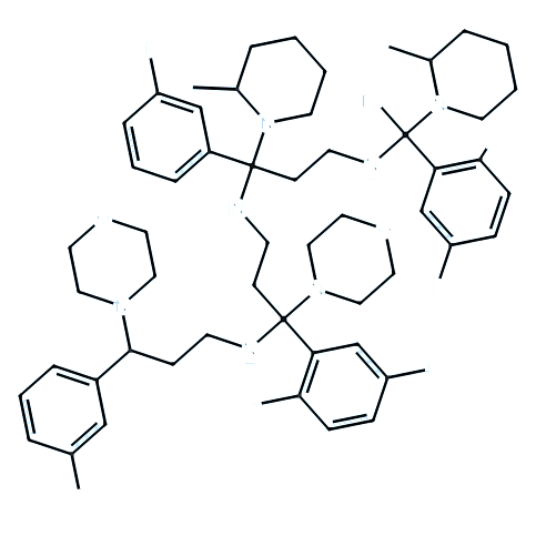 [CH2]CC(NCCC(NCCC(NCCC(c1cccc(F)c1)N1CCOCC1)(c1cc(F)ccc1F)N1CCOCC1)(c1cccc(F)c1)N1CCCCC1C)(c1cc(F)ccc1F)N1CCCCC1C